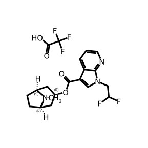 CN1[C@@H]2CC[C@H]1C[C@@H](OC(=O)c1cn(CC(F)F)c3ncccc13)C2.O=C(O)C(F)(F)F